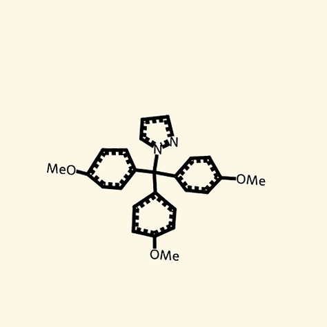 COc1ccc(C(c2ccc(OC)cc2)(c2ccc(OC)cc2)n2cccn2)cc1